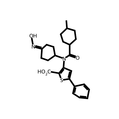 CC1CCC(C(=O)N(c2cc(-c3ccccc3)sc2C(=O)O)C2CCC(=NO)CC2)CC1